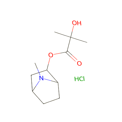 CN1C2CCC1C(OC(=O)C(C)(C)O)C2.Cl